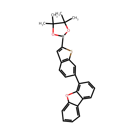 CC1(C)OB(c2cc3ccc(-c4cccc5c4oc4ccccc45)cc3s2)OC1(C)C